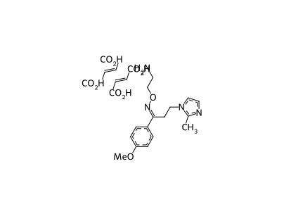 COc1ccc(C(CCn2ccnc2C)=NOCCN)cc1.O=C(O)C=CC(=O)O.O=C(O)C=CC(=O)O